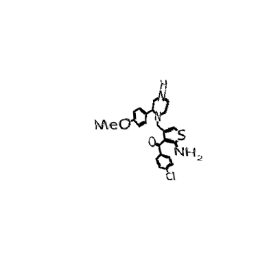 COc1ccc(C2CNCCN2Cc2csc(N)c2C(=O)c2ccc(Cl)cc2)cc1